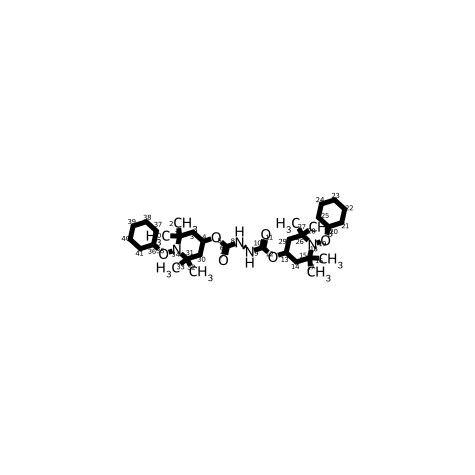 CC1(C)CC(OC(=O)NNC(=O)OC2CC(C)(C)N(OC3CCCCC3)C(C)(C)C2)CC(C)(C)N1OC1CCCCC1